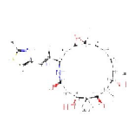 C/C(=C\c1csc(C)n1)C1CC2O[C@@H]2CCC[C@H](C)[C@H](O)[C@@H](C)C(=O)C(C)(C)[C@@H](O)CC(=O)N1